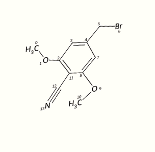 COc1cc(CBr)cc(OC)c1C#N